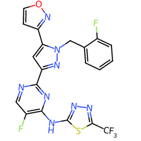 Fc1ccccc1Cn1nc(-c2ncc(F)c(Nc3nnc(C(F)(F)F)s3)n2)cc1-c1ccon1